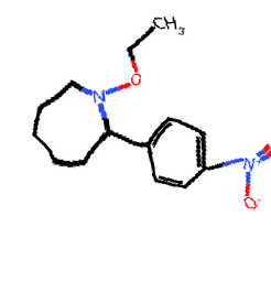 CCON1CCCCCC1c1ccc([N+](=O)[O-])cc1